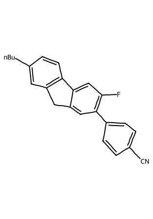 CCCCc1ccc2c(c1)Cc1cc(-c3ccc(C#N)cc3)c(F)cc1-2